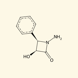 NN1C(=O)[C@@H](O)[C@H]1c1ccccc1